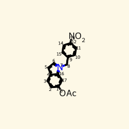 CC(=O)Oc1ccc2ccn(Cc3ccc([N+](=O)[O-])cc3)c2c1